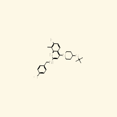 Cc1c(F)ccc2c(N3CCC(NC(C)(C)C)CC3)cc(NCc3ccc(Cl)cc3)nc12